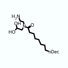 CCCCCCCCCCCCCCCCCC(=O)N(CCN)CC(O)O